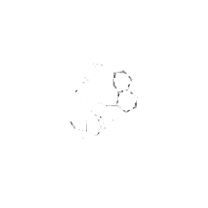 C=C[C@@H]1CN2CCC1C[C@@H]2C(O)c1ccnc2ccc(OC)cc12.N=C=S